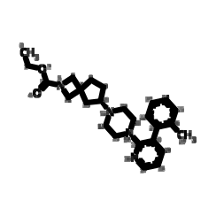 CCOC(=O)N1CC2(CC[C@@H](N3CCN(c4ncccc4-c4ccccc4C)CC3)C2)C1